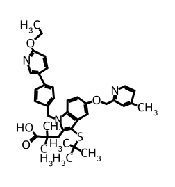 CCOc1ccc(-c2ccc(Cn3c(CC(C)(C)C(=O)O)c(SC(C)(C)C)c4cc(OCc5cc(C)ccn5)ccc43)cc2)cn1